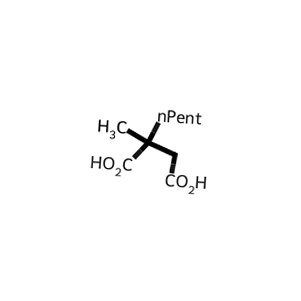 CCCCCC(C)(CC(=O)O)C(=O)O